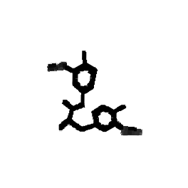 COc1cc(CC(C)C(C)Cc2ccc(C)c(OC)c2)ccc1C